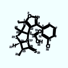 Cc1onc(-c2cccc(Cl)c2)c1[C@@]1(C(=O)O)N2C(=S)[C@@H](C)[C@H]2SC1(C)C